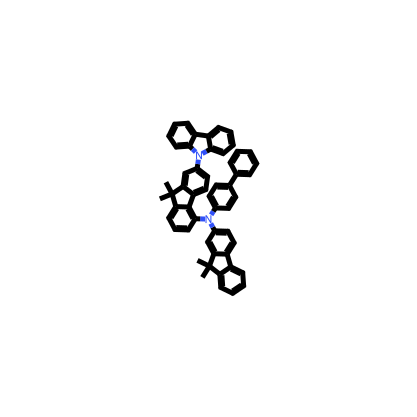 CC1(C)c2ccccc2-c2ccc(N(c3ccc(-c4ccccc4)cc3)c3cccc4c3-c3ccc(-n5c6ccccc6c6ccccc65)cc3C4(C)C)cc21